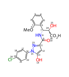 COc1ccccc1[C@@H](NC(=O)c1cc(O)n(-c2ccc(Cl)cc2)n1)[C@@H](O)C(=O)O